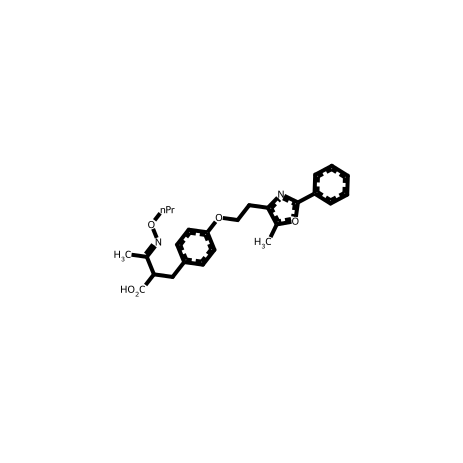 CCCON=C(C)C(Cc1ccc(OCCc2nc(-c3ccccc3)oc2C)cc1)C(=O)O